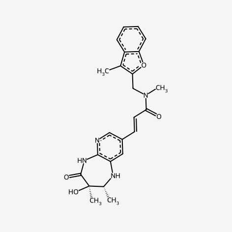 Cc1c(CN(C)C(=O)/C=C/c2cnc3c(c2)N[C@H](C)[C@@](C)(O)C(=O)N3)oc2ccccc12